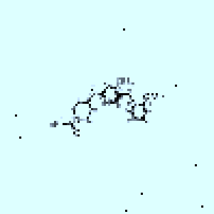 CCCC(=O)N1CCC(Nc2ncc(Cc3ccccc3OC)c(N)n2)CC1